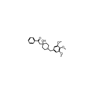 COc1cc(CN2CCC(O)(CC(=O)c3ccccc3)CC2)cc(OC)c1OC